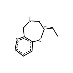 CC[C@@H]1CNCc2ncccc2O1